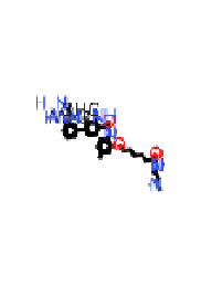 COc1c(-c2cccc3[nH]c(CN)nc23)ccc(C(=O)N(C)c2ccc(C)cc2OCCCCCC(=O)N(C)CCN(C)C)c1NC=O